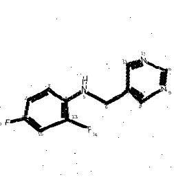 Fc1ccc(NCc2cncnc2)c(F)c1